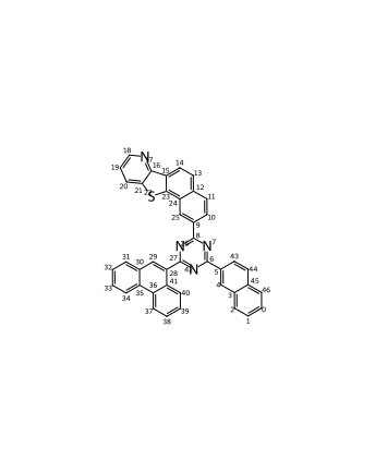 c1ccc2cc(-c3nc(-c4ccc5ccc6c7ncccc7sc6c5c4)nc(-c4cc5ccccc5c5ccccc45)n3)ccc2c1